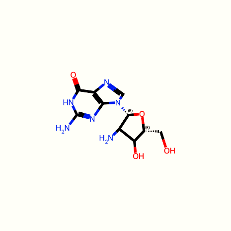 Nc1nc2c(ncn2[C@@H]2O[C@H](CO)C(O)C2N)c(=O)[nH]1